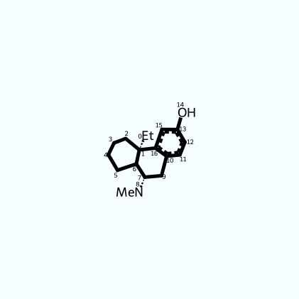 CC[C@@]12CCCCC1[C@@H](NC)Cc1ccc(O)cc12